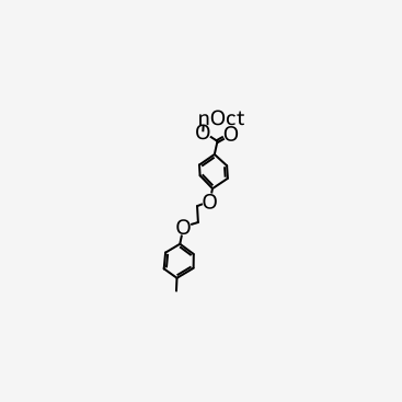 CCCCCCCCOC(=O)c1ccc(OCCOc2ccc(C)cc2)cc1